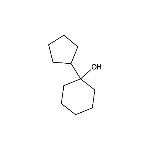 OC1(C2CCCC2)CCCCC1